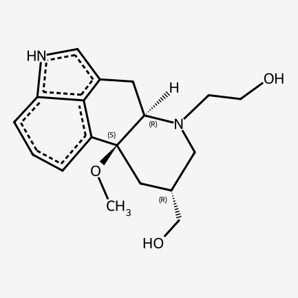 CO[C@]12C[C@@H](CO)CN(CCO)[C@@H]1Cc1c[nH]c3cccc2c13